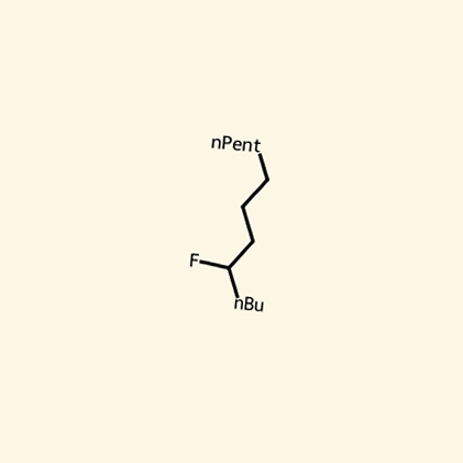 [CH2]CCCC(F)CCCCCCCC